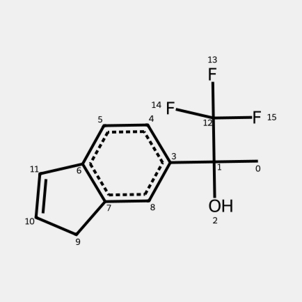 CC(O)(c1ccc2c(c1)CC=C2)C(F)(F)F